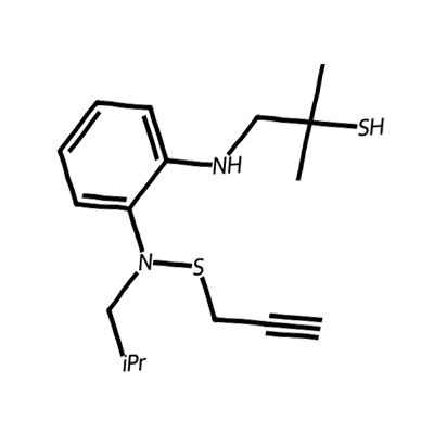 C#CCSN(CC(C)C)c1ccccc1NCC(C)(C)S